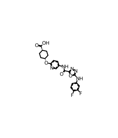 O=C(Nc1ccc(O[C@H]2CC[C@H](C(=O)O)CC2)nc1)c1nnc(Nc2ccc(F)c(F)c2)o1